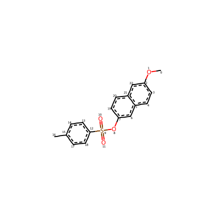 COc1ccc2cc(OS(=O)(=O)c3ccc(C)cc3)ccc2c1